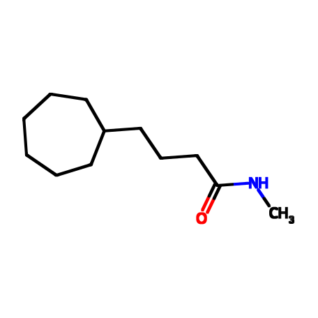 CNC(=O)CCCC1CCCCCC1